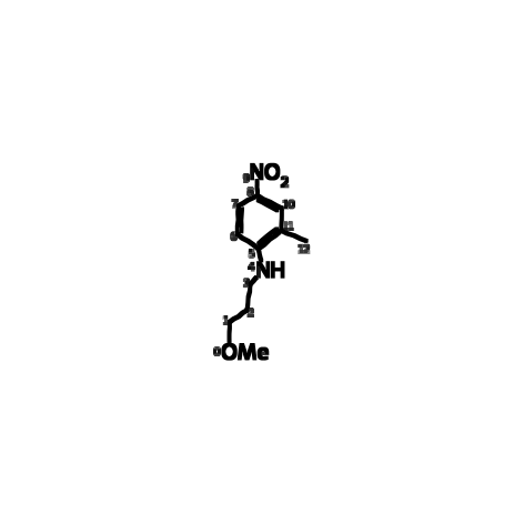 COCCCNc1ccc([N+](=O)[O-])cc1C